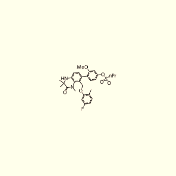 CCCS(=O)(=O)Oc1ccc(-c2ccc3c(c2COc2cc(F)ccc2C)N(C)C(=O)C(C)(C)N3)c(OC)c1